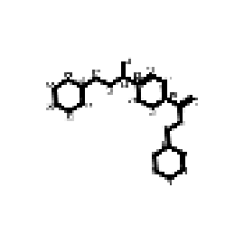 C=C(CCC1CCCCC1)C1=CC=C(C(C)CCC2CCCCC2)CC1